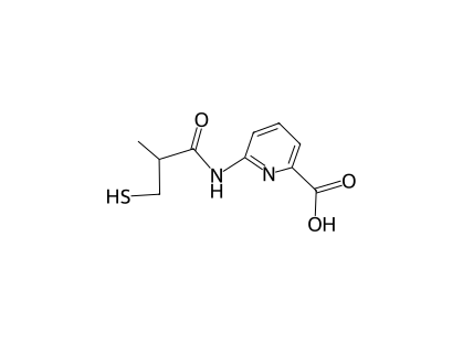 CC(CS)C(=O)Nc1cccc(C(=O)O)n1